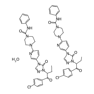 CCC(C(=O)c1ccc(Cl)cc1)n1ncn(-c2ccc(N3CCN(C(=O)Nc4ccccc4)CC3)nc2)c1=O.CCC(C(=O)c1ccc(Cl)cc1)n1ncn(-c2ccc(N3CCN(C(=O)Nc4ccccc4)CC3)nc2)c1=O.O